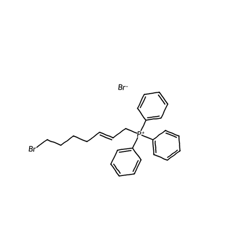 BrCCCCC=CC[P+](c1ccccc1)(c1ccccc1)c1ccccc1.[Br-]